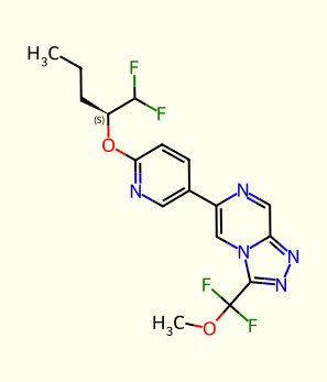 CCC[C@H](Oc1ccc(-c2cn3c(C(F)(F)OC)nnc3cn2)cn1)C(F)F